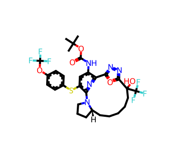 CC(C)(C)OC(=O)Nc1cc(Sc2ccc(OC(F)(F)F)cc2)c2nc1-c1nnc(o1)C(O)(C(F)(F)F)CCCCC[C@@H]1CCCN21